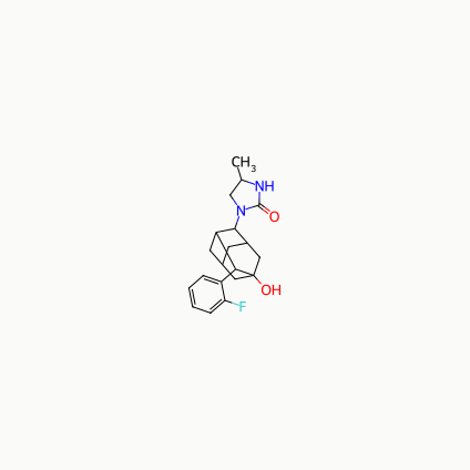 CC1CN(C2C3CC4CC2C(c2ccccc2F)C(O)(C4)C3)C(=O)N1